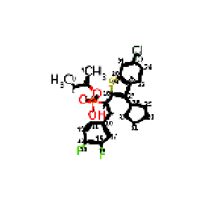 CCC(C)OP(=O)(O)C(Cc1ccc(F)c(F)c1)c1sc2cc(Cl)ccc2c1C1CCCC1